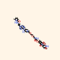 Cc1cccc(C(=O)NC2CC(n3cnc4c(NC5CCN(CCOCCOCCNC(=O)COc6ccc7c(c6)C(=O)N([C@H]6CCC(=O)NC6=O)C7=O)CC5)ncnc43)C2)n1